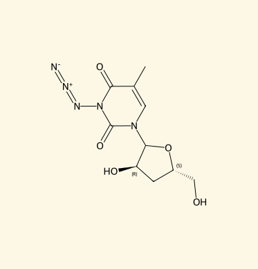 Cc1cn(C2O[C@H](CO)C[C@H]2O)c(=O)n(N=[N+]=[N-])c1=O